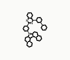 c1ccc(-c2cccc(-c3nc(-c4cccc(-n5c6ccc7ccccc7c6c6c7ccccc7ccc65)c4)nc4ccccc34)c2)cc1